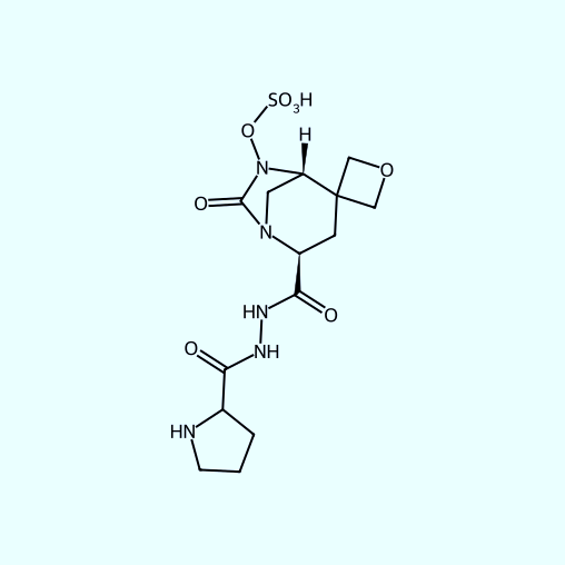 O=C(NNC(=O)[C@@H]1CC2(COC2)[C@@H]2CN1C(=O)N2OS(=O)(=O)O)C1CCCN1